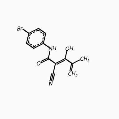 C=C(C)C(O)=C(C#N)C(=O)Nc1ccc(Br)cc1